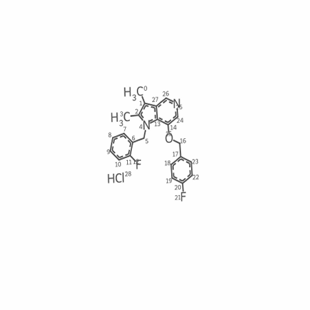 Cc1c(C)n(Cc2ccccc2F)c2c(OCc3ccc(F)cc3)cncc12.Cl